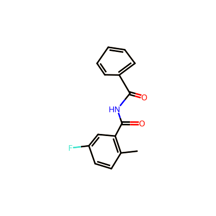 Cc1ccc(F)cc1C(=O)NC(=O)c1ccccc1